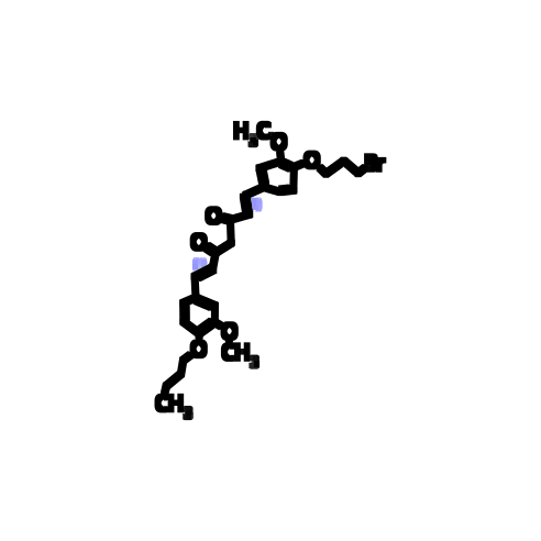 CCCCOc1ccc(/C=C/C(=O)CC(=O)/C=C/c2ccc(OCCCBr)c(OC)c2)cc1OC